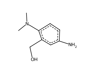 CN(C)c1ccc(N)cc1CO